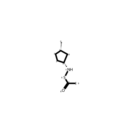 C[C@H]1CC[C@@H](NSC(=O)I)C1